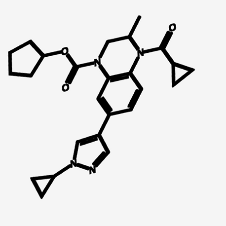 CC1CN(C(=O)OC2CCCC2)c2cc(-c3cnn(C4CC4)c3)ccc2N1C(=O)C1CC1